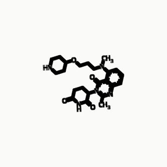 Cc1nc2cccc(N(C)CCCOC3CCNCC3)c2c(=O)n1C1CCC(=O)NC1=O